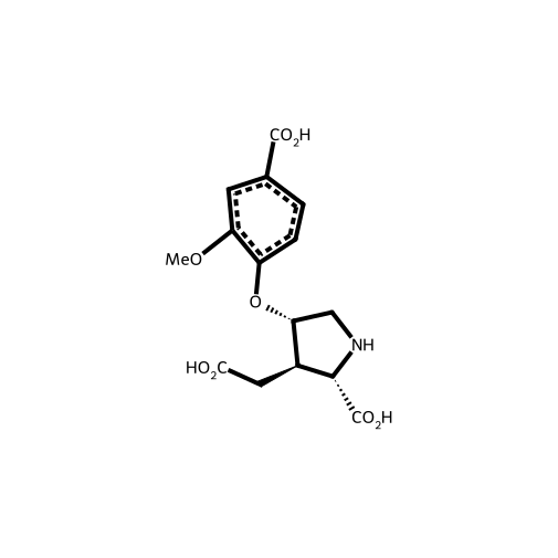 COc1cc(C(=O)O)ccc1O[C@@H]1CN[C@H](C(=O)O)[C@H]1CC(=O)O